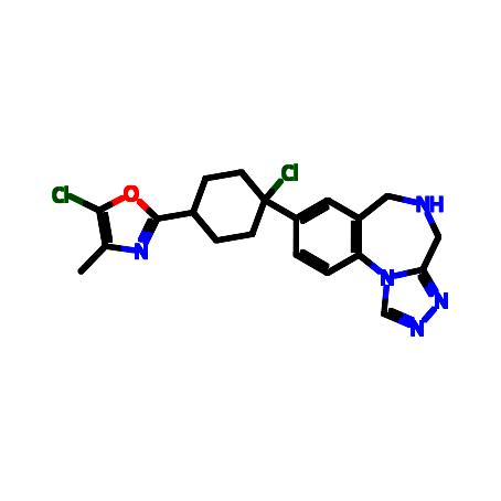 Cc1nc(C2CCC(Cl)(c3ccc4c(c3)CNCc3nncn3-4)CC2)oc1Cl